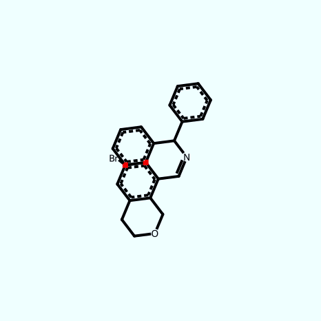 Brc1cc(/C=N\C(c2ccccc2)c2ccccc2)c2c(c1)CCOC2